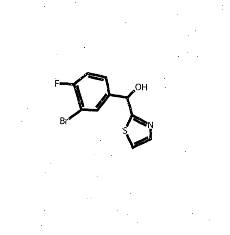 OC(c1ccc(F)c(Br)c1)c1nccs1